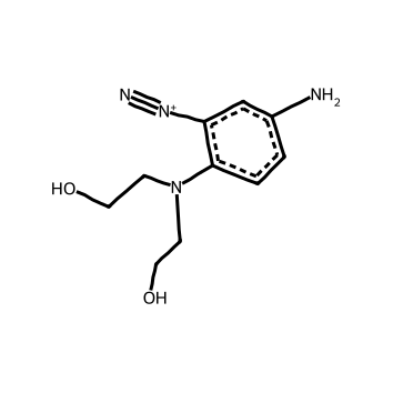 N#[N+]c1cc(N)ccc1N(CCO)CCO